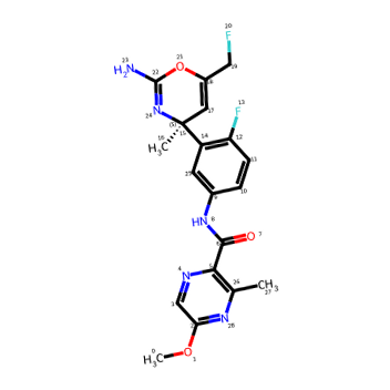 COc1cnc(C(=O)Nc2ccc(F)c([C@]3(C)C=C(CF)OC(N)=N3)c2)c(C)n1